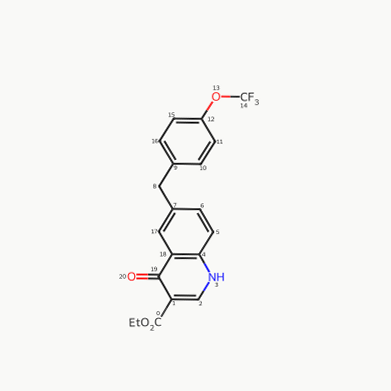 CCOC(=O)c1c[nH]c2ccc(Cc3ccc(OC(F)(F)F)cc3)cc2c1=O